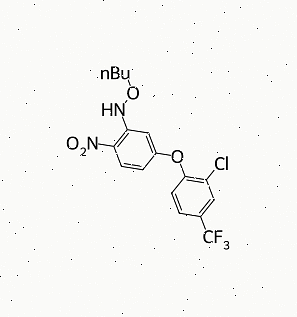 CCCCONc1cc(Oc2ccc(C(F)(F)F)cc2Cl)ccc1[N+](=O)[O-]